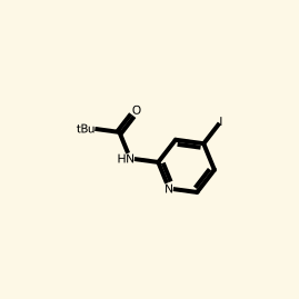 CC(C)(C)C(=O)Nc1cc(I)ccn1